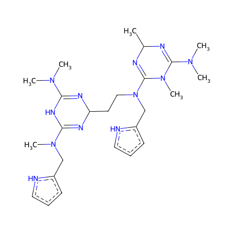 CC1N=C(N(C)C)N(C)C(N(CCC2N=C(N(C)C)NC(N(C)Cc3ccc[nH]3)=N2)Cc2ccc[nH]2)=N1